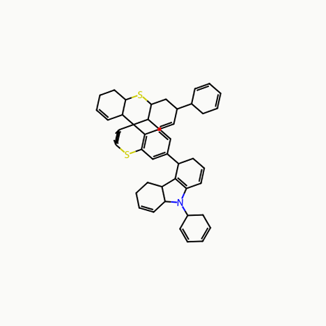 C1=CCC(C2C=CC3C(C2)SC2CCC=CC2C32c3ccccc3Sc3cc(C4CC=CC5=C4C4CCC=CC4N5C4C=CC=CC4)ccc32)C=C1